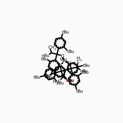 CCCCC(C)C(OP(OC(c1ccc(C(C)(C)C)cc1C(C)(C)C)(c1ccc(C(C)(C)C)cc1C(C)(C)C)C(C)CCCC)OC(c1ccc(C(C)(C)C)cc1C(C)(C)C)(c1ccc(C(C)(C)C)cc1C(C)(C)C)C(C)CCCC)(c1ccc(C(C)(C)C)cc1C(C)(C)C)c1ccc(C(C)(C)C)cc1C(C)(C)C